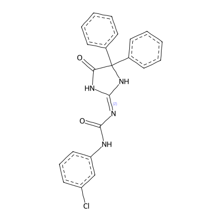 O=C(/N=C1\NC(=O)C(c2ccccc2)(c2ccccc2)N1)Nc1cccc(Cl)c1